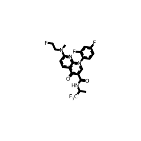 CC(NC(=O)c1cn(-c2ccc(F)cc2F)c2nc(N(C)CCF)ccc2c1=O)C(F)(F)F